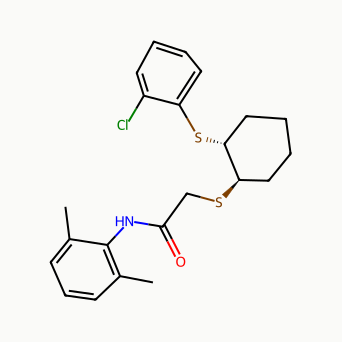 Cc1cccc(C)c1NC(=O)CS[C@@H]1CCCC[C@H]1Sc1ccccc1Cl